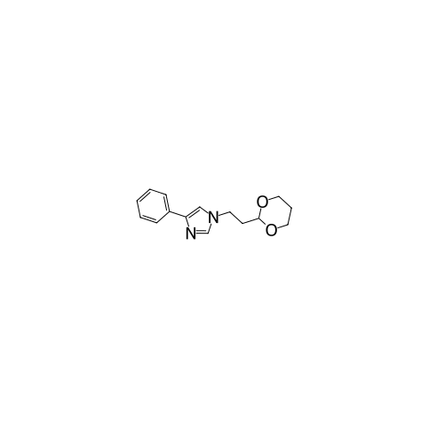 c1ccc(-c2cn(CCC3OCCCO3)cn2)cc1